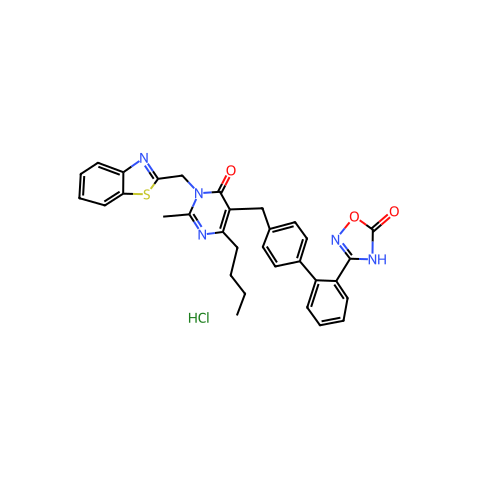 CCCCc1nc(C)n(Cc2nc3ccccc3s2)c(=O)c1Cc1ccc(-c2ccccc2-c2noc(=O)[nH]2)cc1.Cl